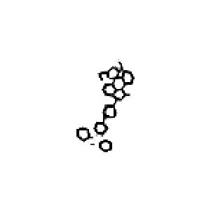 Cc1cc(-c2ccc(-c3ccc(P(=O)(c4ccccc4)c4ccccc4)cc3)cc2)c2cccc3c2c1-c1ccccc1C31c2ccccc2-c2ccccc21